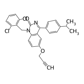 C#CCOc1ccc2c(c1)c(-c1ccc(C(C)C)cc1)nc(=O)n2Cc1c(Cl)cccc1Cl